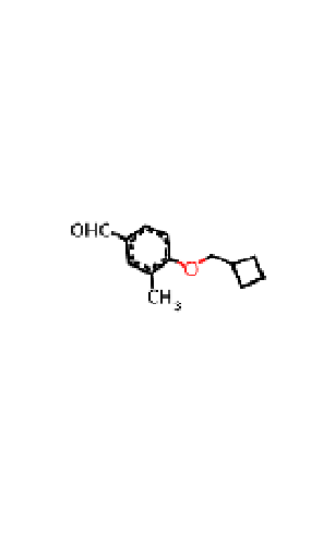 Cc1cc(C=O)ccc1OCC1CCC1